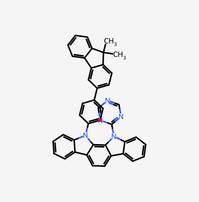 CC1(C)c2ccccc2-c2cc(-c3ccc(-n4c5ccccc5c5ccc6c7ccccc7n(-c7ncncn7)c6c54)cc3)ccc21